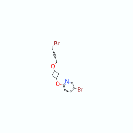 BrCC#CCOC1CC(Oc2ccc(Br)cn2)C1